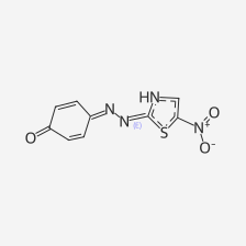 O=C1C=CC(=N/N=c2\[nH]cc([N+](=O)[O-])s2)C=C1